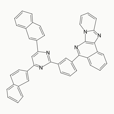 c1cc(-c2nc(-c3ccc4ccccc4c3)cc(-c3ccc4ccccc4c3)n2)cc(-c2nc3c(nc4ccccn43)c3ccccc23)c1